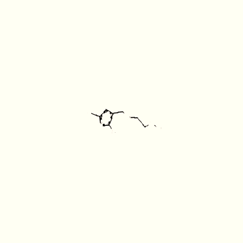 CCOCCOCc1cc(Br)sc1Br